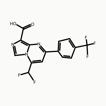 O=C(O)c1ncn2c(C(F)F)cc(-c3ccc(C(F)(F)F)cc3)nc12